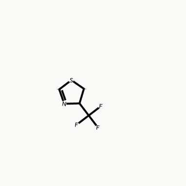 FC(F)(F)C1[CH]S[C]=N1